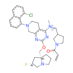 C=CC(=O)N1CCC(/C=[N+](/C)c2nc(OC[C@]34CCCN3C[C@H](F)C4)nc3c2CCN(c2cccc4cccc(Cl)c24)C3)C1